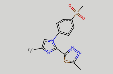 Cc1nnc(-c2nc(C(F)(F)F)cn2-c2ccc(S(C)(=O)=O)cc2)s1